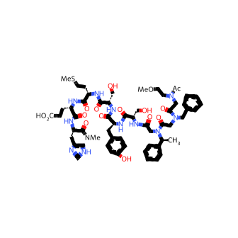 CNC(=O)[C@H](Cc1c[nH]cn1)NC(=O)[C@H](CCC(=O)O)NC(=O)[C@H](CCSC)NC(=O)[C@H](CO)NC(=O)[C@H](Cc1ccc(O)cc1)NC(=O)[C@H](CO)NC(=O)CN(C(=O)CN(Cc1ccccc1)C(=O)CN(CCOC)C(C)=O)[C@@H](C)c1ccccc1